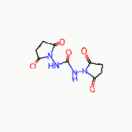 O=C(NN1C(=O)CCC1=O)NN1C(=O)CCC1=O